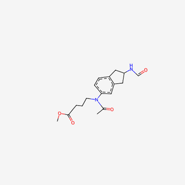 COC(=O)CCCN(C(C)=O)c1ccc2c(c1)CC(NC=O)C2